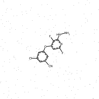 N#Cc1cc(Cl)cc(Oc2cc(F)nc(NN)c2F)c1